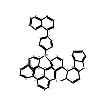 CC1C=Cc2sc3ccccc3c2C1c1ccc(N(c2ccc(-c3cccc4ccccc34)cc2)c2ccccc2-c2cccc3cccc(-c4ccccc4)c23)cc1